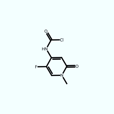 Cn1cc(F)c(NC(=O)Cl)cc1=O